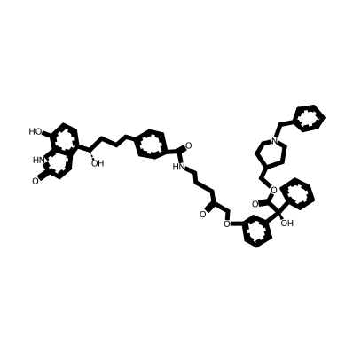 O=C(CCCNC(=O)c1ccc(CCC[C@H](O)c2ccc(O)c3[nH]c(=O)ccc23)cc1)COc1cccc([C@](O)(C(=O)OCC2CCN(Cc3ccccc3)CC2)c2ccccc2)c1